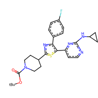 CC(C)(C)OC(=O)N1CCC(c2nc(-c3ccc(F)cc3)c(-c3ccnc(NC4CC4)n3)s2)CC1